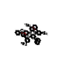 CC(C)(C)c1ccc2c(c1)B1c3ccc(C(C)(C)c4ccccc4)cc3N(c3ccc(C(C)(C)C)cc3-c3ccccc3)c3cc(C45CC6CC(CC(C6)C4)C5)cc(c31)N2c1ccc(C(C)(C)C)cc1-c1ccccc1